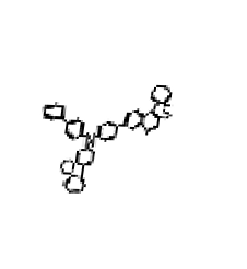 c1ccc(-c2ccc(N(c3ccc(-c4ccc5c(ccc6sc7ccccc7c65)c4)cc3)c3ccc4c(c3)oc3ccccc34)cc2)cc1